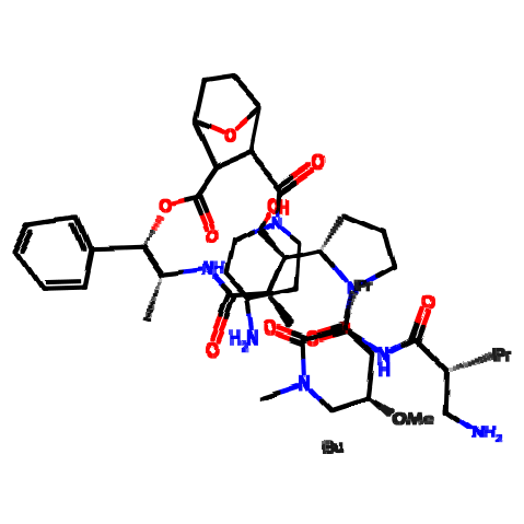 CC[C@H](C)C([C@@H](CC(=O)N1CCC[C@H]1[C@H](CO)[C@@H](C)C(=O)N[C@H](C)[C@@H](OC(=O)C1C2CCC(O2)C1C(=O)N1CCC(N)CC1)c1ccccc1)OC)N(C)C(=O)[C@@H](NC(=O)[C@@H](CN)C(C)C)C(C)C